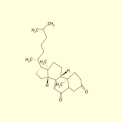 CC(C)CCC[C@@H](C)[C@H]1CC[C@H]2C3=CC(=O)C4CC(=O)CC[C@]4(C)[C@H]3CC[C@]12C